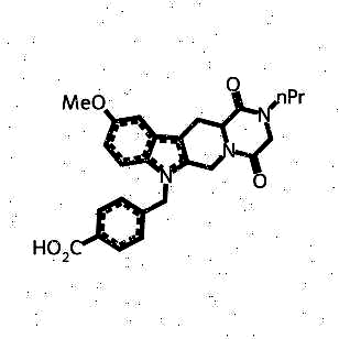 CCCN1CC(=O)N2Cc3c(c4cc(OC)ccc4n3Cc3ccc(C(=O)O)cc3)CC2C1=O